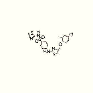 Cc1cc(Cl)ccc1OCc1csc(Nc2ccc(S(=O)(=O)Nc3nccs3)cc2)n1